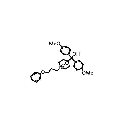 COc1ccc(C(O)(c2ccc(OC)cc2)C23CC[N+](CCCOc4ccccc4)(CC2)CC3)cc1